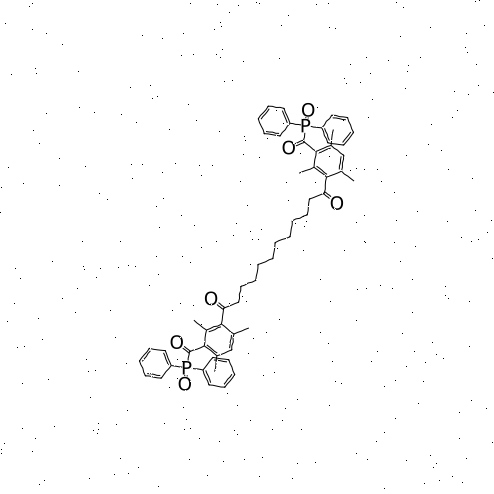 Cc1cc(C)c(C(=O)P(=O)(c2ccccc2)c2ccccc2)c(C)c1C(=O)CCCCCCCCCCC(=O)c1c(C)cc(C)c(C(=O)P(=O)(c2ccccc2)c2ccccc2)c1C